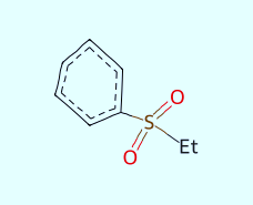 [CH]CS(=O)(=O)c1ccccc1